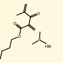 Br.C=C(C)C(=O)C(=C)C(=O)OCCCC.CN(C)C